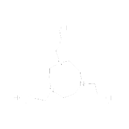 O=C(O)CN1CCN(COO)CCN(CC(=O)O)CC1